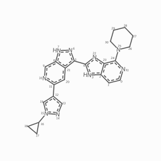 c1cc2[nH]c(-c3n[nH]c4cnc(-c5cnn(C6CC6)c5)cc34)nc2c(N2CCCCC2)n1